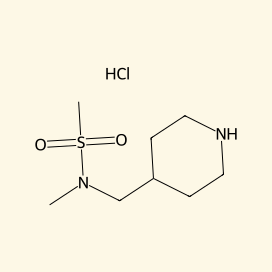 CN(CC1CCNCC1)S(C)(=O)=O.Cl